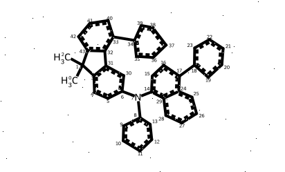 CC1(C)c2ccc(N(c3ccccc3)c3ccc(-c4ccccc4)c4ccccc34)cc2-c2c(-c3ccccc3)cccc21